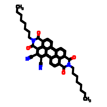 CCCCCCCCN1C(=O)c2ccc3c4ccc5c6c(c(C#N)c(C#N)c(c7ccc(c2c37)C1=O)c64)C(=O)N(CCCCCCCC)C5=O